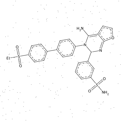 CCS(=O)(=O)c1ccc(-c2ccc(N3C(N)=c4ccoc4=NC3c3cccc(S(N)(=O)=O)c3)cc2)cc1